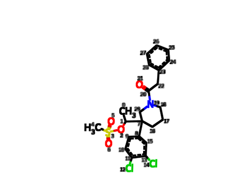 CC(OS(C)(=O)=O)C1(c2ccc(Cl)c(Cl)c2)CCCN(C(=O)Cc2ccccc2)C1